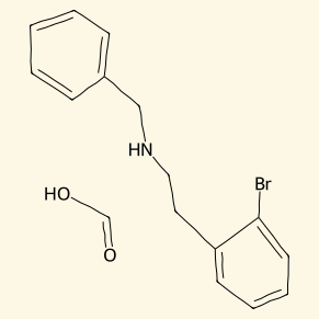 Brc1ccccc1CCNCc1ccccc1.O=CO